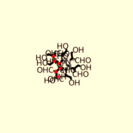 O=C[C@H](CO)NN([C@H](C=O)CO)N([C@H](C=O)CO)N([C@H](C=O)CO)N([C@H](C=O)CO)N([C@H](C=O)CO)N(N[C@H](C=O)CO)[C@H](C=O)CO